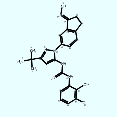 CC(C)(C)c1cc(NC(=O)Nc2cccc(Cl)c2Cl)n(-c2ccc3c(c2)C(=NO)CC3)n1